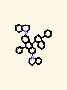 C1=CC2=C(CC1)N(c1ccc3c(-c4ccccc4)c4cc(N5CCCc6ccccc65)ccc4c(-c4ccc(-c5ccccc5)c5ccccc45)c3c1)CCC2